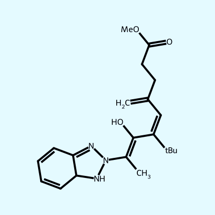 C=C(/C=C(\C(O)=C(/C)N1N=C2C=CC=CC2N1)C(C)(C)C)CCC(=O)OC